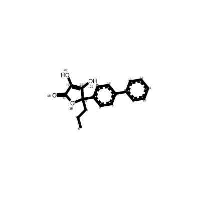 CCCC1(c2ccc(-c3ccccc3)cc2)OC(=O)C(O)=C1O